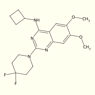 COc1cc2nc(N3CCC(F)(F)CC3)nc(NC3CCC3)c2cc1OC